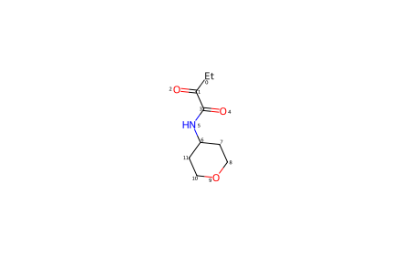 CCC(=O)C(=O)NC1CCOCC1